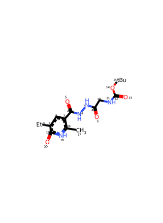 CCc1cc(C(=O)NNC(=O)CNC(=O)OC(C)(C)C)c(C)[nH]c1=O